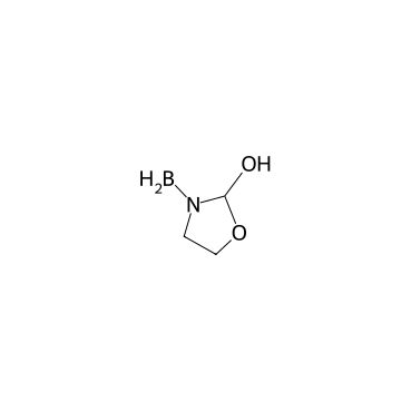 BN1CCOC1O